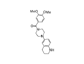 COc1ccc(C(=O)N2CCN(c3ccc4c(c3)CCCN4)CC2)cc1OC